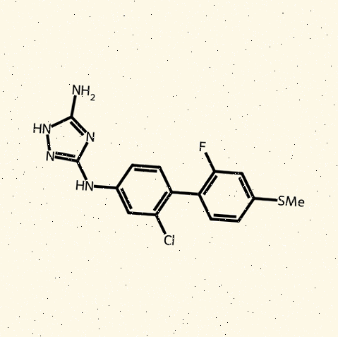 CSc1ccc(-c2ccc(Nc3n[nH]c(N)n3)cc2Cl)c(F)c1